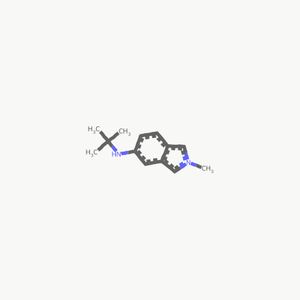 Cn1cc2ccc(NC(C)(C)C)cc2c1